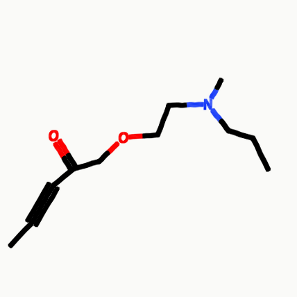 CC#CC(=O)COCCN(C)CCC